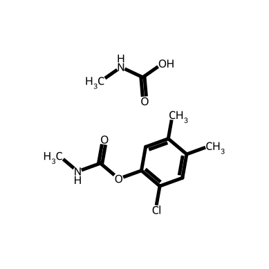 CNC(=O)O.CNC(=O)Oc1cc(C)c(C)cc1Cl